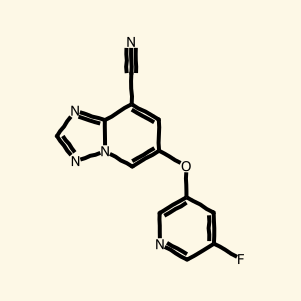 N#Cc1cc(Oc2cncc(F)c2)cn2ncnc12